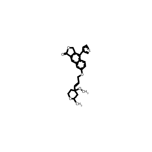 COC1(C=CCOc2ccc3c(-c4ccsc4)c4c(cc3c2)C(=O)OC4)CCOC(C)C1